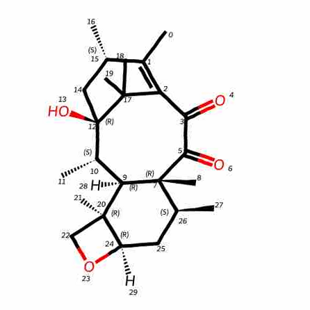 CC1=C2C(=O)C(=O)[C@@]3(C)[C@H]([C@H](C)[C@](O)(C[C@@H]1C)C2(C)C)[C@]1(C)CO[C@@H]1C[C@@H]3C